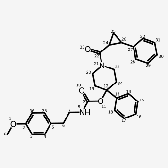 COc1ccc(CCNC(=O)OC2(c3ccccc3)CCN(C(=O)C3CC3c3ccccc3)CC2)cc1